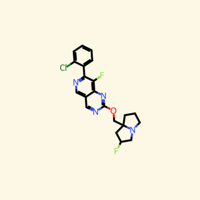 Fc1c(-c2ccccc2Cl)ncc2cnc(OCC34CCCN3CC(F)C4)nc12